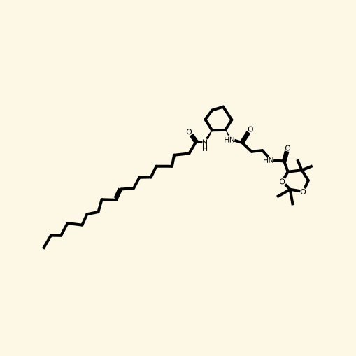 CCCCCCCCC=CCCCCCCCC(=O)N[C@H]1CCCC[C@@H]1NC(=O)CCNC(=O)C1OC(C)(C)OCC1(C)C